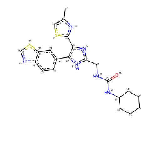 Cc1csc(-c2nc(CNC(=O)NC3CCCCC3)[nH]c2-c2ccc3ncsc3c2)n1